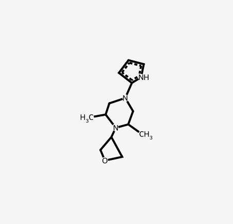 CC1CN(c2ccc[nH]2)CC(C)N1C1COC1